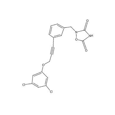 O=c1[nH]c(=O)n(Cc2cccc(C#CCOc3cc(Cl)cc(Cl)c3)c2)o1